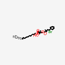 CCCCCCCCCCCCCCCCCCCCOC(=O)C(C)(CO)COC(=O)C(C)(C)CC(Br)c1ccccc1